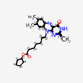 C=c1nc2c(c(=O)[nH]1)=Nc1cc(C)c(C)cc1N2CCCCCCC(=O)OC1CCCC1